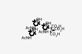 CC(=O)NC1CC(C)(C)N(O)C(C)(C)C1.CC(=O)NC1CC(C)(C)N(O)C(C)(C)C1.CC(=O)NC1CC(C)(C)N(O)C(C)(C)C1.O=C(O)CN(CC(=O)O)CC(=O)O